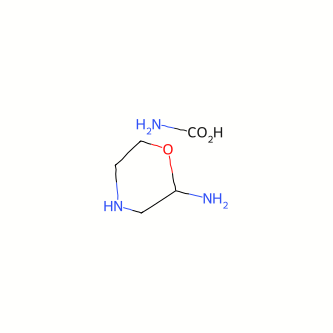 NC(=O)O.NC1CNCCO1